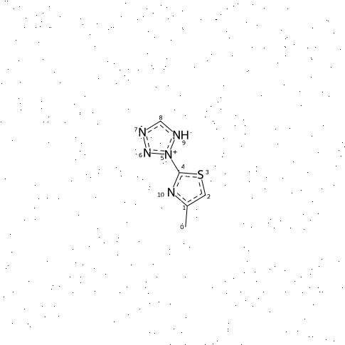 Cc1csc(-[n+]2nnc[nH]2)n1